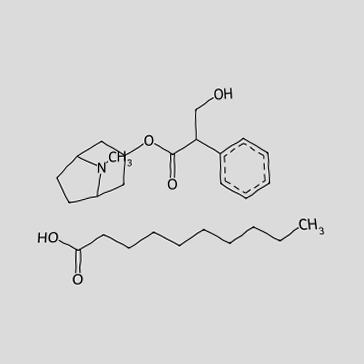 CCCCCCCCCC(=O)O.CN1C2CCC1CC(OC(=O)C(CO)c1ccccc1)C2